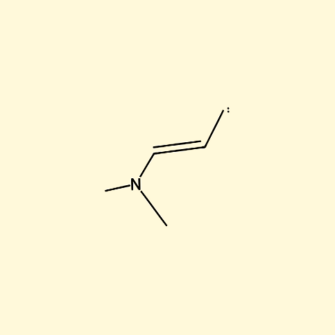 [CH]C=CN(C)C